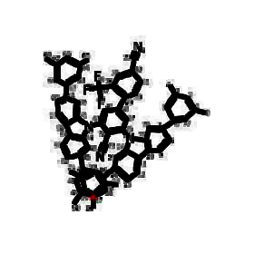 Cc1cc(C)cc(-c2ccc3c4ccc(-c5cc(C)cc(C)c5)cc4n(-c4cc(-c5ccc(C#N)cc5C(F)(F)F)cc(-n5c6cc(-c7cc(C)cc(C)c7)ccc6c6ccc(-c7cc(C)cc(C)c7)cc65)c4C#N)c3c2)c1